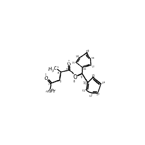 CCCC(=O)CC(C)C(=O)OC(c1ccccc1)c1ccccc1